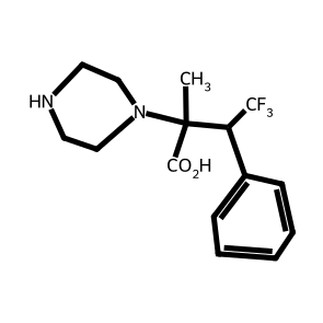 CC(C(=O)O)(C(c1ccccc1)C(F)(F)F)N1CCNCC1